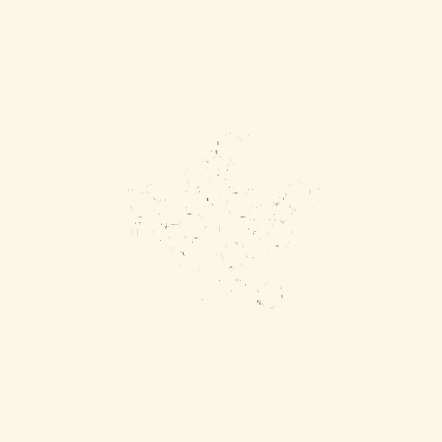 CC12CCCCC1(C)N(c1ccccc1)c1cc3c(cc12)B1c2cc4c(cc2N(c2cccc5c2sc2ccccc25)c2cccc(c21)N3c1cccc2c1sc1ccccc12)N(c1ccccc1)C1(C)CCCCC41C